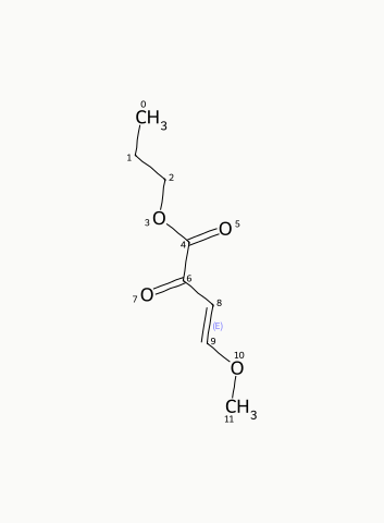 CCCOC(=O)C(=O)/C=C/OC